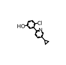 Oc1ccc(Cl)c(-c2ccc(C3CC3)cn2)c1